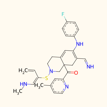 C=C/C(=C\NC)SN1CCC2=CC(Nc3ccc(F)cc3)=C(C=N)CC2(C(=O)c2cc(C)ccn2)C1